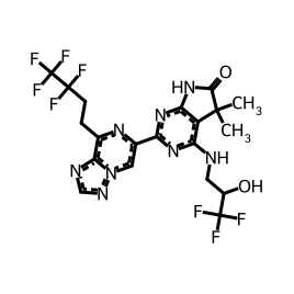 CC1(C)C(=O)Nc2nc(-c3cn4ncnc4c(CCC(F)(F)C(F)(F)F)n3)nc(NCC(O)C(F)(F)F)c21